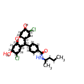 CCCC(C)NC(=O)c1ccc(-c2c3cc(Cl)c(=O)cc-3oc3cc(O)c(Cl)cc23)cc1